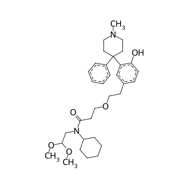 COC(CN(C(=O)CCOCCc1ccc(O)c(C2(c3ccccc3)CCN(C)CC2)c1)C1CCCCC1)OC